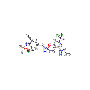 C#Cc1cc(CNC(=O)/C=C\c2ccc(C(F)(F)F)nc2NCCC)cc(F)c1NS(C)(=O)=O